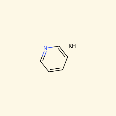 [KH].c1ccncc1